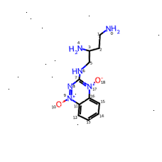 NCCC(N)CNc1n[n+]([O-])c2ccccc2[n+]1[O-]